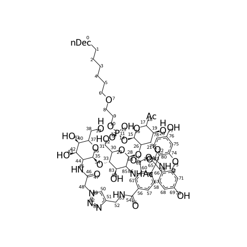 CCCCCCCCCCCCCCCCOCCOP(=O)(O)O[C@H]1OC(C(C)=O)[C@@H](O)[C@H](OC(N)=O)C1O[C@@H]1OC(CO)[C@@H](O[C@@H]2OC(CO)[C@H](O)[C@H](O)C2NC(=O)Cn2cc(CNC(=O)c3ccc4c(c3)C(=O)OC43c4ccc(O)cc4Oc4cc(O)ccc43)nn2)[C@H](O)C1NC(C)=O